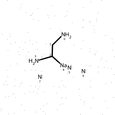 NC[CH](N)[Na].[N].[N].[N]